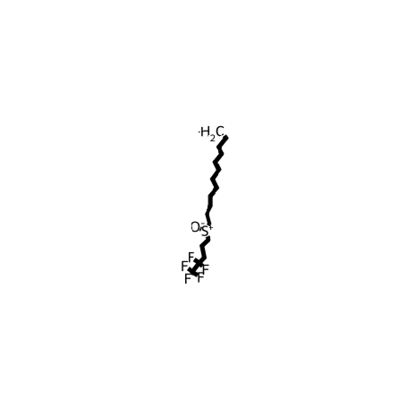 [CH2]CCCCCCCCCCC[S+]([O-])CCCC(F)(F)C(F)(F)F